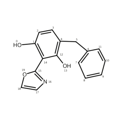 Oc1ccc(Cc2ccccc2)c(O)c1-c1ncco1